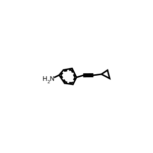 Nc1ccc(C#CC2CC2)cc1